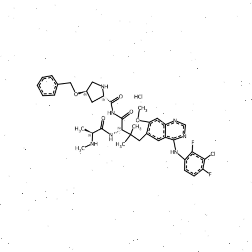 CN[C@@H](C)C(=O)N[C@H](C(=O)NC(=O)[C@@H]1C[C@@H](OCc2ccccc2)CN1)C(C)(C)Cc1cc2c(Nc3ccc(F)c(Cl)c3F)ncnc2cc1OC.Cl